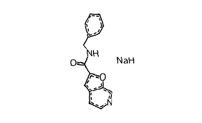 O=C(NCc1ccccc1)c1cc2ccncc2o1.[NaH]